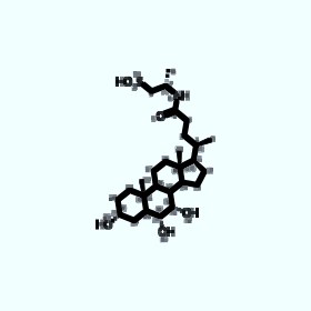 C[C@H](CCC(=O)N[C@@H](C)CS(=O)(=O)O)[C@H]1CCC2C3C(CC[C@@]21C)[C@@]1(C)CC[C@@H](O)CC1[C@@H](O)[C@H]3O